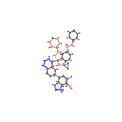 Cn1cc(-c2ccc3ncnc([C@](COC4CCCCO4)(OC4CC4)c4cccc(OCc5ccccc5)c4)c3c2)c2cc[nH]c2c1=O